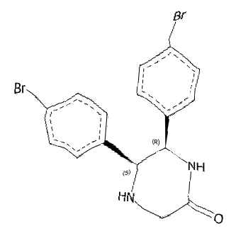 O=C1CN[C@@H](c2ccc(Br)cc2)[C@@H](c2ccc(Br)cc2)N1